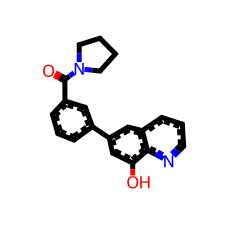 O=C(c1cccc(-c2cc(O)c3ncccc3c2)c1)N1CCCC1